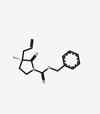 C=CC[C@]1(C)CCN(C(=O)OCc2ccccc2)C1=O